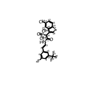 O=C(NC=Cc1cc(F)cc(C(F)(F)F)c1)C(c1csc2ccc(Cl)cc12)P(=O)(O)O